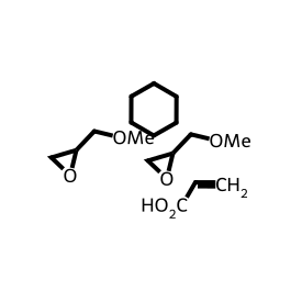 C1CCCCC1.C=CC(=O)O.COCC1CO1.COCC1CO1